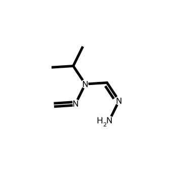 C=NN(/C=N\N)C(C)C